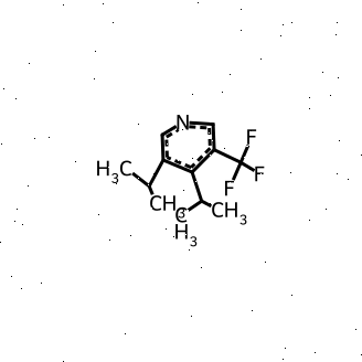 CC(C)c1cncc(C(F)(F)F)c1C(C)C